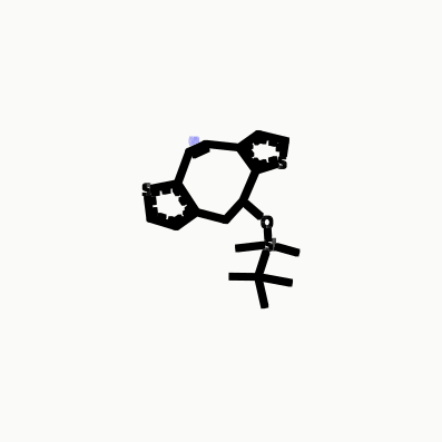 CC(C)(C)[Si](C)(C)OC1Cc2ccsc2/C=C\c2ccsc21